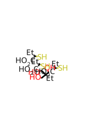 CCC(CO)(CO)CO.CCC(S)C(=O)O.CCC(S)C(=O)O.CCC(S)C(=O)O